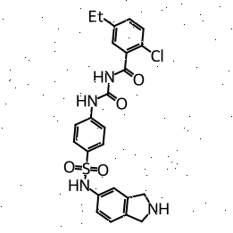 CCc1ccc(Cl)c(C(=O)NC(=O)Nc2ccc(S(=O)(=O)Nc3ccc4c(c3)CNC4)cc2)c1